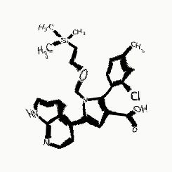 Cc1ccc(-c2c(C(=O)O)cc(-c3ccnc4[nH]ccc34)n2COCC[Si](C)(C)C)c(Cl)c1